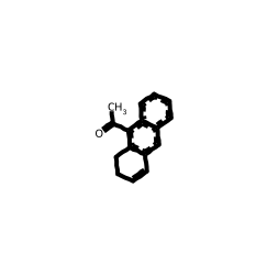 CC(=O)c1c2c(cc3ccccc13)C=CCC2